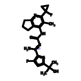 Cc1c(C2(F)CC2)nc2c(c1NC(=O)/N=S(\N)c1sc(C(C)(C)O)cc1F)CCC2